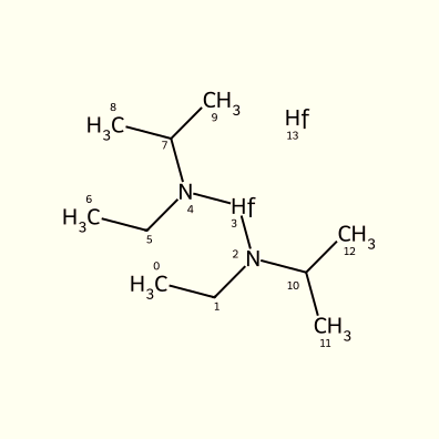 CC[N]([Hf][N](CC)C(C)C)C(C)C.[Hf]